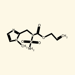 C=CCOC(=O)N(Cc1nccn1C)S(N)(=O)=O